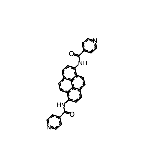 O=C(Nc1ccc2ccc3c(NC(=O)c4ccncc4)ccc4ccc1c2c43)c1ccncc1